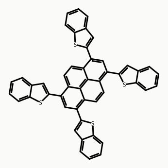 c1ccc2sc(-c3cc(-c4cc5ccccc5s4)c4ccc5c(-c6cc7ccccc7s6)cc(-c6cc7ccccc7s6)c6ccc3c4c65)cc2c1